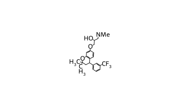 CNCC(O)COc1ccc2c(c1)OC(C)(C)CC2c1cccc(C(F)(F)F)c1